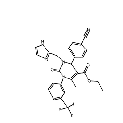 CCOC(=O)C1=C(C)N(c2cccc(C(F)(F)F)c2)C(=O)N(Cc2ncc[nH]2)C1c1ccc(C#N)cc1